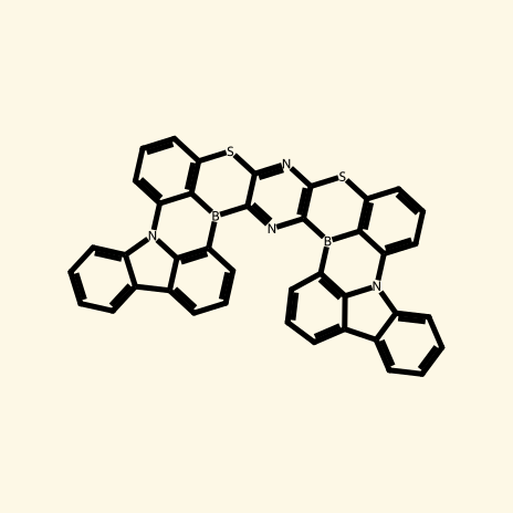 c1cc2c3c(c1)-n1c4ccccc4c4cccc(c41)B3c1nc3c(nc1S2)Sc1cccc2c1B3c1cccc3c4ccccc4n-2c13